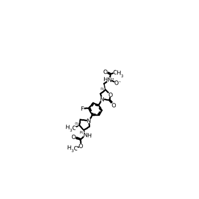 COC(=O)N[C@H]1CN(c2ccc(N3C[C@@H](C[NH+]([O-])C(C)=O)OC3=O)cc2F)C[C@@H]1C